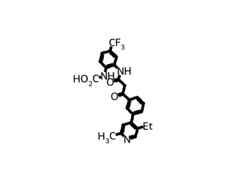 CCc1cnc(C)cc1-c1cccc(C(=O)CC(=O)Nc2cc(C(F)(F)F)ccc2NC(=O)O)c1